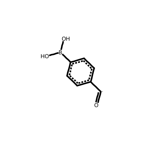 O=[C]c1ccc(B(O)O)cc1